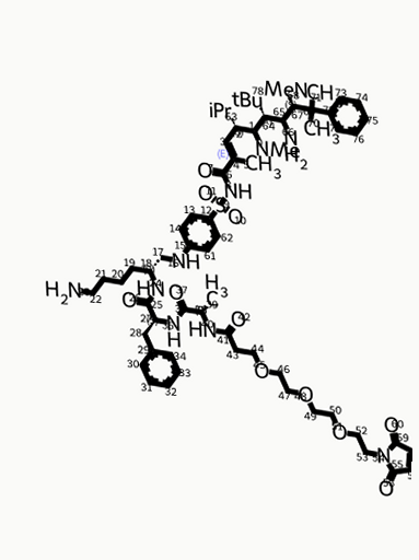 CNC([C@H](/C=C(\C)C(=O)NS(=O)(=O)c1ccc(NC[C@@H](CCCCN)NC(=O)[C@H](Cc2ccccc2)NC(=O)[C@@H](C)NC(=O)CCOCCOCCOCCN2C(=O)C=CC2=O)cc1)C(C)C)[C@@H](C(N)[C@@H](NC)C(C)(C)c1ccccc1)C(C)(C)C